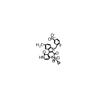 Cc1ccc2c(c1)c(-c1ccc[nH]c1=O)c(C(=O)NS(=O)(=O)C1CC1)n2Cc1cc([N+](=O)[O-])ccc1F